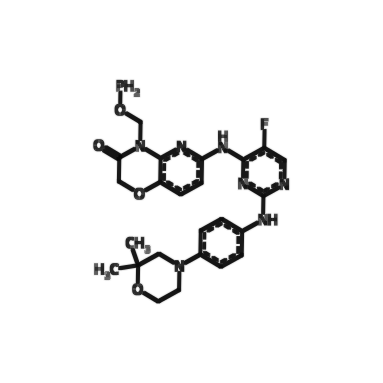 CC1(C)CN(c2ccc(Nc3ncc(F)c(Nc4ccc5c(n4)N(COP)C(=O)CO5)n3)cc2)CCO1